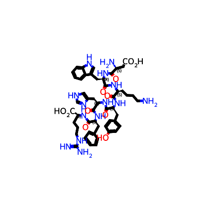 N=C(N)NCCC[C@H](NC(=O)[C@H](Cc1ccccc1)NC(=O)[C@@H](Cc1c[nH]cn1)NC(=O)[C@H](Cc1ccc(O)cc1)NC(=O)[C@H](CCCCN)NC(=O)[C@@H](Cc1c[nH]c2ccccc12)NC(=O)[C@@H](N)CC(=O)O)C(=O)O